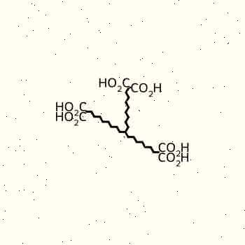 O=C(O)C(CCCCCC[CH]C(CCCCCCCCC(C(=O)O)C(=O)O)CCCCCCCCC(C(=O)O)C(=O)O)C(=O)O